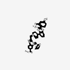 COC(=O)c1ccc2nc(CN3CCC(c4cccc5c4OC(C)(c4ccc(C#N)cc4F)O5)CC3)n(C[C@@H]3CCO3)c2c1